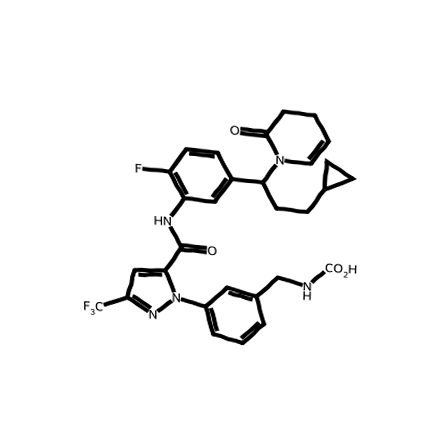 O=C(O)NCc1cccc(-n2nc(C(F)(F)F)cc2C(=O)Nc2cc(C(CCC3CC3)N3C=CCCC3=O)ccc2F)c1